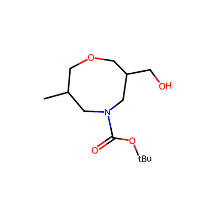 CC1COCC(CO)CN(C(=O)OC(C)(C)C)C1